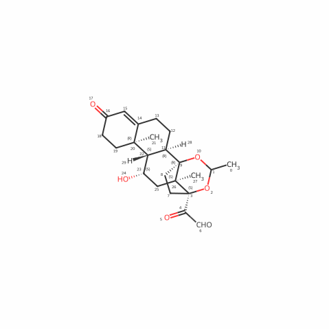 CC1O[C@@]2(C(=O)C=O)CC[C@@]3(O1)[C@@H]1CCC4=CC(=O)CC[C@]4(C)[C@H]1[C@@H](O)C[C@]23C